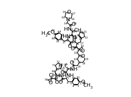 COc1ccc(CC(NC(=O)C(C)NC(=O)CC2CCOC(CC3(C(=O)C(CC4=CCCC4)NC(=O)C(Cc4ccc(OC)cc4)NC(=O)C(C)NC(=O)CN4CCOCC4)CO3)C2)C(=O)NC(CC2CCCC2)C(=O)C2(C)CO2)cc1